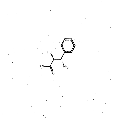 NC(=O)[C@@H](O)[C@@H](N)c1ccccc1